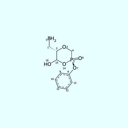 BC[C@@H]1OC[P@@](=O)(Oc2ccccc2)OC1O